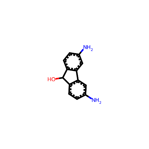 Nc1ccc2c(c1)-c1cc(N)ccc1C2O